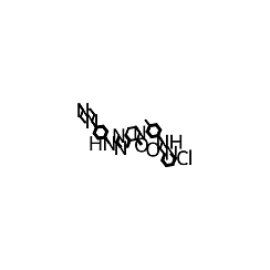 Cc1ccc(NC(=O)c2cccc(Cl)n2)cc1N1CCc2nc(Nc3ccc(N4CCN(C)CC4)cc3)ncc2C1=O